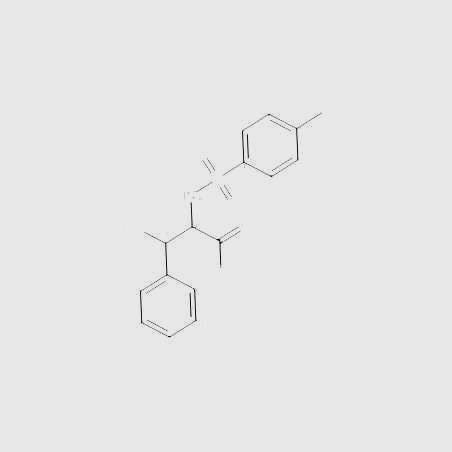 Cc1ccc(S(=O)(=O)NC(C(=O)O)C(O)c2ccccc2)cc1